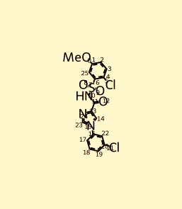 COc1ccc(Cl)c(S(=O)(=O)NC(=O)c2cn(-c3cccc(Cl)c3)cn2)c1